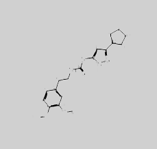 COc1ccc(CCNC(=O)Nc2cc(C3CCCC3)n[nH]2)cc1OC